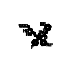 CC(C)n1c(CC[C@@H](O)C[C@@H](O)CC(=O)[O-])c(-c2ccc(F)cc2)c(-c2ccccc2)c1C(=O)NCc1cccc(C#N)c1.[Na+]